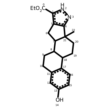 CCOC(=O)c1[nH]nc2c1CC1C3CCc4cc(O)ccc4C3CCC21C